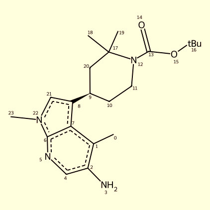 Cc1c(N)cnc2c1c([C@@H]1CCN(C(=O)OC(C)(C)C)C(C)(C)C1)cn2C